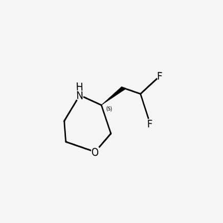 FC(F)C[C@H]1COCCN1